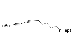 CCCCC#CC#CCCCCCCCCCCCC